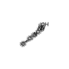 CC[C@@H](C(=O)O)N1Cc2cc(N3CCC(c4ccc(C#Cc5ccccc5)cc4)CC3)ccc2C1=O